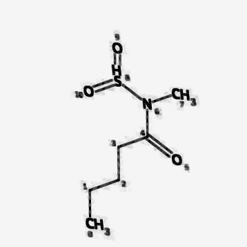 CCCCC(=O)N(C)[SH](=O)=O